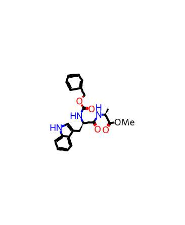 COC(=O)[C@H](C)NC(=O)[C@@H](Cc1c[nH]c2ccccc12)NC(=O)OCc1ccccc1